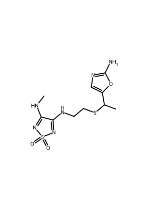 CNC1=NS(=O)(=O)N=C1NCCSC(C)c1cnc(N)o1